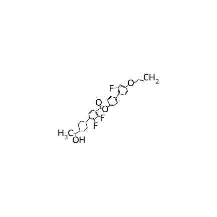 C=CCCOc1ccc(-c2ccc(OC(=O)c3ccc(C4CCC(C(C)O)CC4)c(F)c3F)cc2)c(F)c1